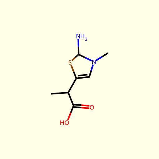 CC(C(=O)O)C1=CN(C)C(N)S1